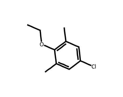 CCOc1c(C)cc(Cl)cc1C